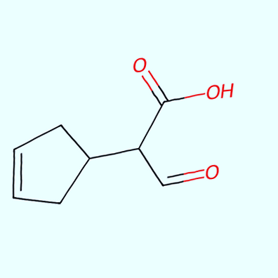 O=CC(C(=O)O)C1CC=CC1